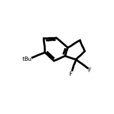 CC(C)(C)c1ccc2c(c1)C(F)(F)CC2